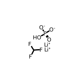 FC(F)F.O=P([O-])([O-])O.[Li+].[Li+]